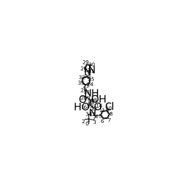 CC1(C)CC(c2cccc(Cl)c2)N(C(=O)[C@H](O)[C@@H](O)C(=O)NCc2ccc(-n3cccn3)cc2)C1